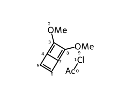 CC(=O)Cl.COc1c2ccc-2c1OC